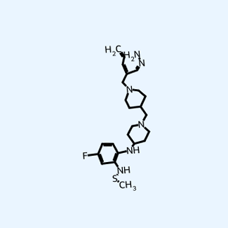 C=C/C=C(\C=N/N)CN1CCC(CN2CCC(Nc3ccc(F)cc3NSC)CC2)CC1